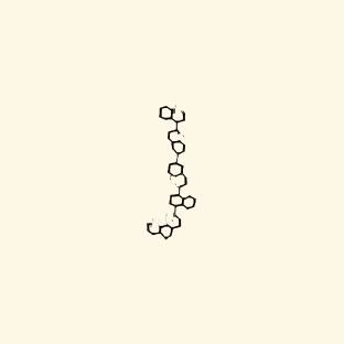 c1cnc2c(c1)ccc1ccc(-c3ccc(-c4ccc5cc(-c6ccc7nc(-c8ccnc9ccccc89)ccc7c6)ccc5n4)c4ccccc34)nc12